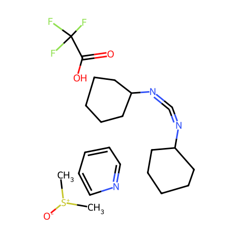 C(=NC1CCCCC1)=NC1CCCCC1.C[S+](C)[O-].O=C(O)C(F)(F)F.c1ccncc1